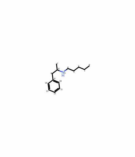 CCCCCNC(C)Cc1ccccc1